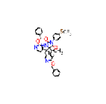 CC(c1ccnc(OCc2ccccc2)c1)C1(C(C)c2ccnc(OCc3ccccc3)c2)NC(=O)N(c2ccc(SC(F)(F)F)cc2)C1=O